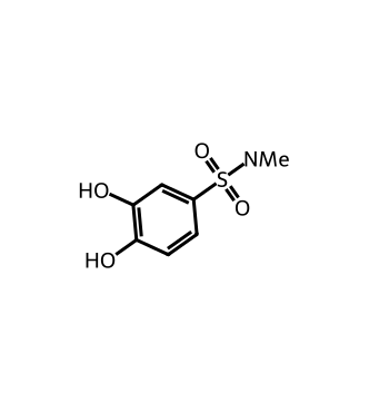 [CH2]NS(=O)(=O)c1ccc(O)c(O)c1